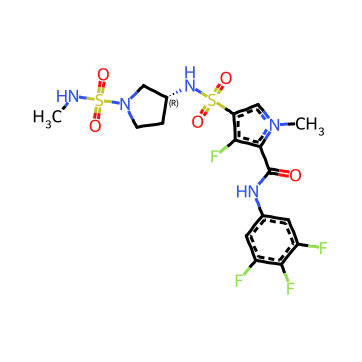 CNS(=O)(=O)N1CC[C@@H](NS(=O)(=O)c2cn(C)c(C(=O)Nc3cc(F)c(F)c(F)c3)c2F)C1